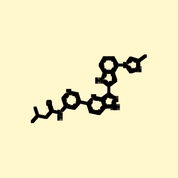 Cc1cn(-c2cccc3[nH]c(-c4n[nH]c5ccc(-c6cncc(NC(=O)CC(C)C)c6)nc45)cc23)cn1